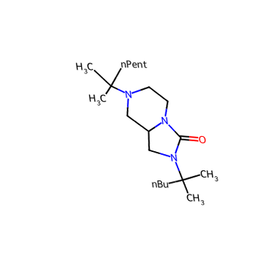 CCCCCC(C)(C)N1CCN2C(=O)N(C(C)(C)CCCC)CC2C1